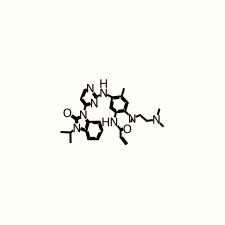 C=CC(=O)Nc1cc(Nc2nccc(-n3c(=O)n(C(C)C)c4ccccc43)n2)c(C)cc1N(C)CCN(C)C